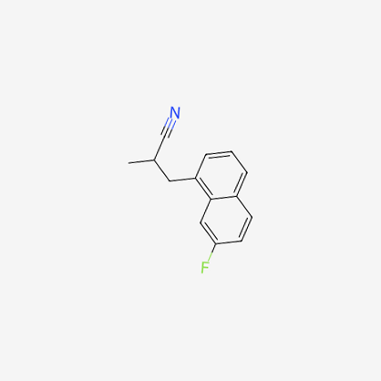 CC(C#N)Cc1cccc2ccc(F)cc12